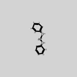 c1ccc([O][Al][O]c2ccccc2)cc1